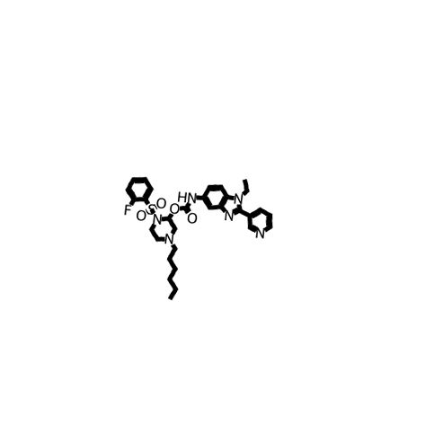 CCCCCCN1CCN(S(=O)(=O)c2ccccc2F)C(OC(=O)Nc2ccc3c(c2)nc(-c2cccnc2)n3CC)C1